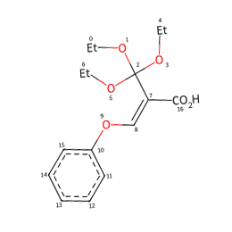 CCOC(OCC)(OCC)C(=COc1ccccc1)C(=O)O